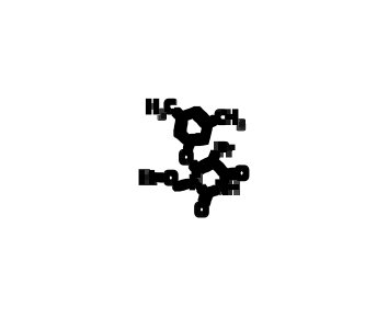 CCOCn1c(Oc2cc(C)cc(C)c2)c(C(C)C)c(=O)[nH]c1=O